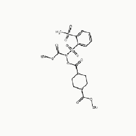 CC(C)(C)OC(=O)N1CCN(C(=O)ON(C(=O)OC(C)(C)C)S(=O)(=O)c2ccccc2S(C)(=O)=O)CC1